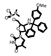 COc1ccc(C(NC2CC(n3cc(C)c(=O)[nH]c3=O)OC2COP(=O)(Cl)N(C)C)(c2ccccc2)c2ccccc2)cc1